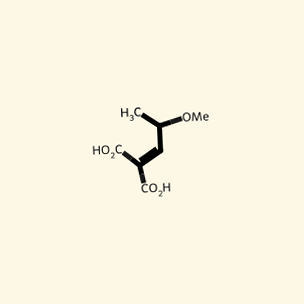 COC(C)C=C(C(=O)O)C(=O)O